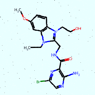 CCn1c(CNC(=O)c2nc(Br)cnc2N)[n+](CCO)c2ccc(OC)cc21